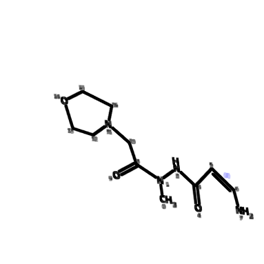 CN(NC(=O)/C=C\N)C(=O)CN1CCOCC1